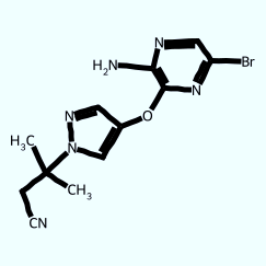 CC(C)(CC#N)n1cc(Oc2nc(Br)cnc2N)cn1